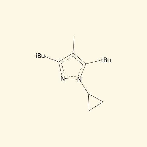 CCC(C)c1nn(C2CC2)c(C(C)(C)C)c1C